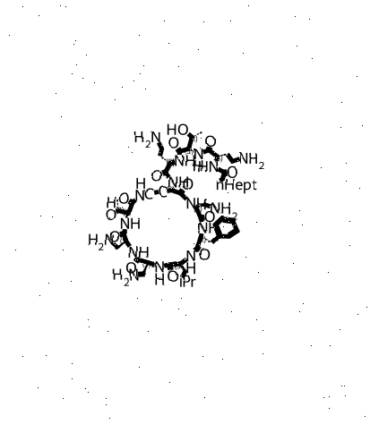 CCCCCCCC(=O)N[C@@H](CCN)C(=O)N[C@H](C(=O)N[C@@H](CCN)C(=O)N[C@H]1CCNC(=O)[C@H]([C@@H](C)O)NC(=O)[C@H](CN)NC(=O)[C@H](CN)NC(=O)[C@H](CC(C)C)NC(=O)[C@@H](Cc2ccccc2)NC(=O)[C@H](CN)NC1=O)[C@@H](C)O